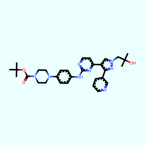 CC(C)(O)Cn1cc(-c2ccnc(Nc3ccc(N4CCN(C(=O)OC(C)(C)C)CC4)cc3)n2)c(-c2cccnc2)n1